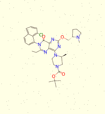 CCc1nc2c(N3CCN(C(=O)OC(C)(C)C)C[C@@H]3C)nc(OC[C@@H]3CCCN3C)nc2c(=O)n1-c1cccc2cccc(Cl)c12